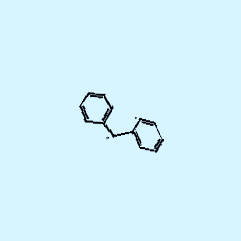 [c]1ccccc1[CH]c1ccccc1